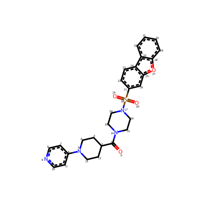 O=C(C1CCN(c2ccncc2)CC1)N1CCN(S(=O)(=O)c2ccc3c(c2)oc2ccccc23)CC1